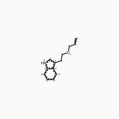 C=CCOCCc1c[nH]c2ccccc12